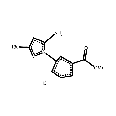 COC(=O)c1cccc(-n2nc(C(C)(C)C)cc2N)c1.Cl